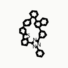 c1ccc(-c2nc(-c3cccc(-c4ccc(-c5ccccc5-c5ccccc5)c5ccccc45)c3)nc(-c3cccc4c3sc3ccccc34)n2)cc1